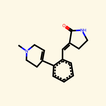 CN1CC=C(c2ccccc2/C=C2\CCNC2=O)CC1